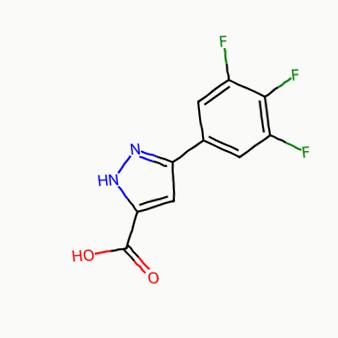 O=C(O)c1cc(-c2cc(F)c(F)c(F)c2)n[nH]1